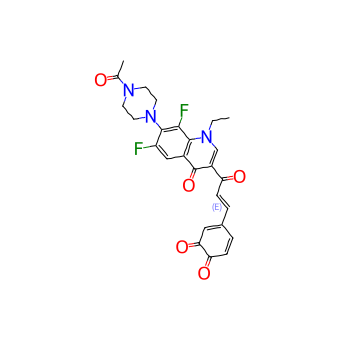 CCn1cc(C(=O)/C=C/C2=CC(=O)C(=O)C=C2)c(=O)c2cc(F)c(N3CCN(C(C)=O)CC3)c(F)c21